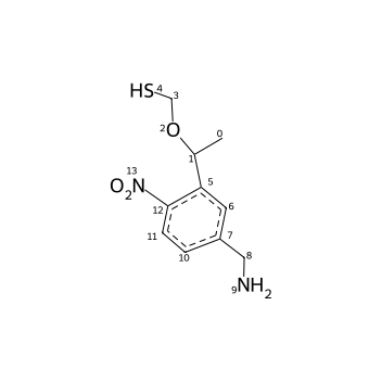 CC(OCS)c1cc(CN)ccc1[N+](=O)[O-]